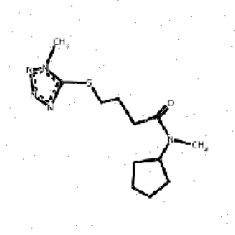 CN(C(=O)CCCSc1nnnn1C)C1CCCC1